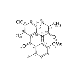 COc1ccc(F)c(C(=O)c2c(NC(=O)C(C)N)ccc(Cl)c2Cl)c1